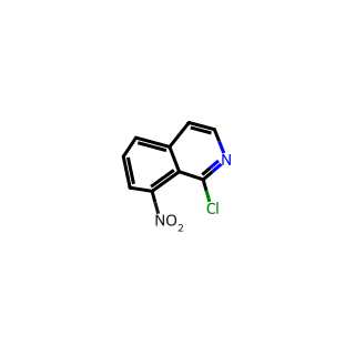 O=[N+]([O-])c1cccc2ccnc(Cl)c12